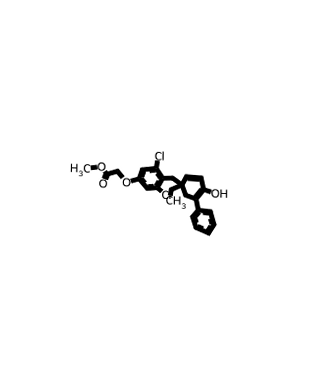 CCC1(Cc2c(Cl)cc(OCC(=O)OC)cc2Cl)C=CC(O)=C(c2ccccc2)C1